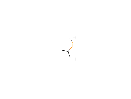 C[P]C(C)C